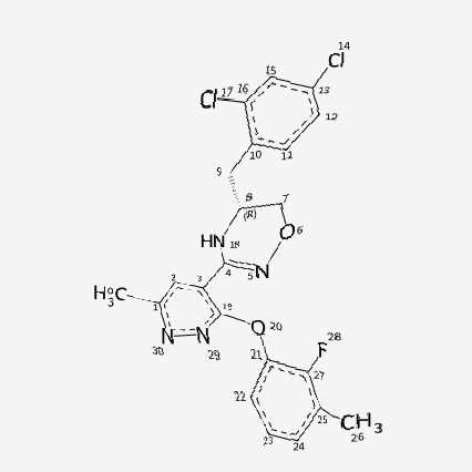 Cc1cc(C2=NOC[C@@H](Cc3ccc(Cl)cc3Cl)N2)c(Oc2cccc(C)c2F)nn1